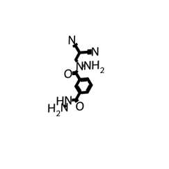 N#CC(C#N)CN(N)C(=O)c1cccc(C(=O)NN)c1